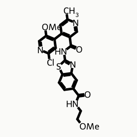 COCCNC(=O)c1ccc2sc(NC(=O)c3cnc(C)cc3-c3cc(Cl)ncc3OC)nc2c1